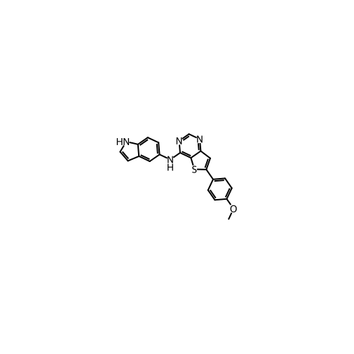 COc1ccc(-c2cc3ncnc(Nc4ccc5[nH]ccc5c4)c3s2)cc1